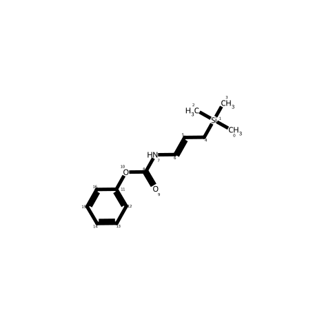 C[Si](C)(C)CC=CNC(=O)Oc1ccccc1